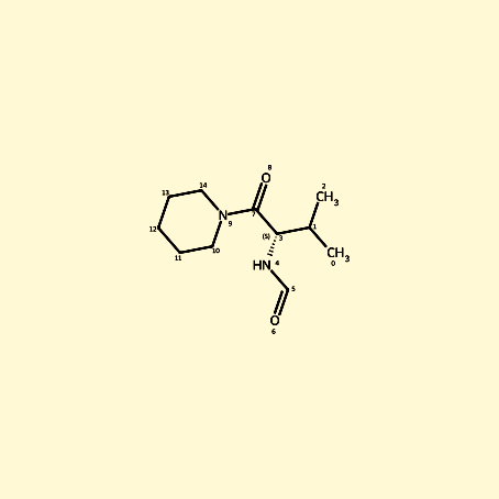 CC(C)[C@H](NC=O)C(=O)N1CCCCC1